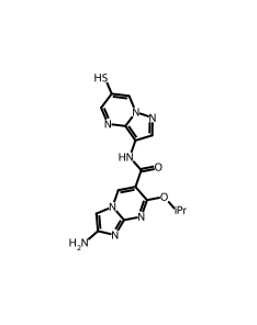 CC(C)Oc1nc2nc(N)cn2cc1C(=O)Nc1cnn2cc(S)cnc12